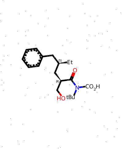 CC[C@H](Cc1ccccc1)C[C@H](CO)C(=O)N(C(=O)O)C(C)(C)C